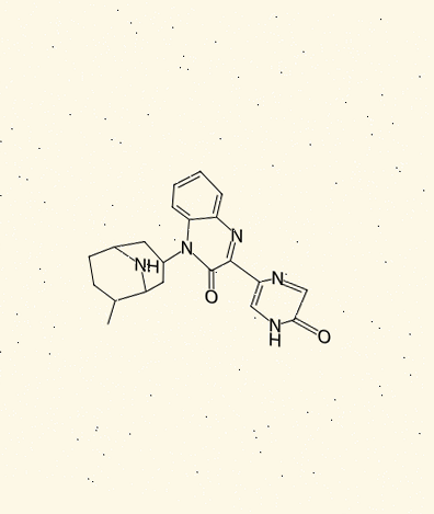 CC1CCC2CC(n3c(=O)c(-c4c[nH]c(=O)cn4)nc4ccccc43)CC1N2